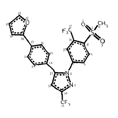 CS(=O)(=O)c1ccc(-n2nc(C(F)(F)F)cc2-c2ccc(-c3ccco3)cc2)cc1C(F)(F)F